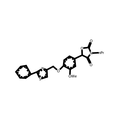 CCCN1C(=O)OC(c2ccc(OCc3csc(-c4ccccc4)n3)c(OC)c2)C1=O